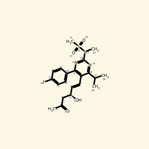 CC(=O)C[C@H](O)/C=C/c1c(-c2ccc(F)cc2)nc(N(C)S(C)(=O)=O)nc1C(C)C